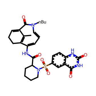 CCCCN1/C=C/C=C(/NC(=O)C2CCCCN2S(=O)(=O)c2ccc3[nH]c(=O)[nH]c(=O)c3c2)C2=C(C)C(=CCC2)C1=O